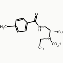 Cc1ccc(C(=O)NC[C@@H](N(CC(F)(F)F)C(=O)O)C(C)(C)C)cc1